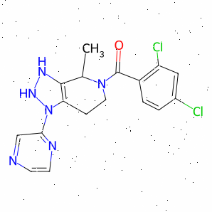 CC1C2=C(CCN1C(=O)c1ccc(Cl)cc1Cl)N(c1cnccn1)NN2